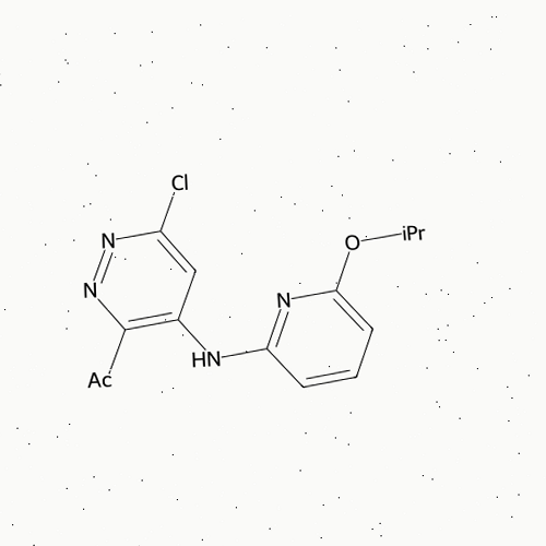 CC(=O)c1nnc(Cl)cc1Nc1cccc(OC(C)C)n1